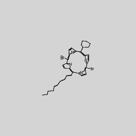 CCCCCCCCCCC1=C2C=CC(=N2)C(Br)=C2C=CC(=N2)C(C2CCCCC2)=C2C=CC(=N2)C(Br)=C2C=CC1=N2